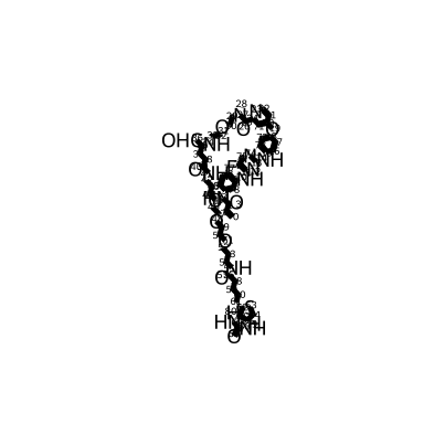 C=CC(=O)Nc1cccc(Nc2nc(Nc3ccc(Oc4ccnc(C(=O)N(C)CCOCCNC(C=O)CCC(=O)NCCCOCCOCCOCCCNC(=O)CCCC[C@@H]5SC[C@@H]6NC(=O)N[C@@H]65)c4)cc3)ncc2F)c1